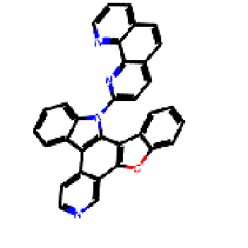 c1cnc2c(c1)ccc1ccc(-n3c4ccccc4c4c5ccncc5c5oc6ccccc6c5c43)nc12